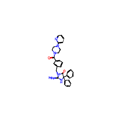 N=C1NC(c2ccccc2)(c2ccccc2)C(=O)N1Cc1cccc(C(=O)N2CCN(c3ccccn3)CC2)c1